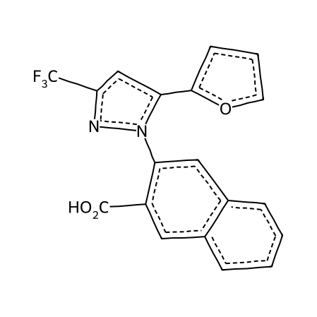 O=C(O)c1cc2ccccc2cc1-n1nc(C(F)(F)F)cc1-c1ccco1